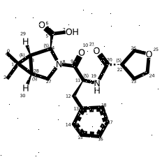 CC1(C)[C@@H]2[C@@H](C(=O)O)N(C(=O)[C@H](Cc3ccccc3)NC(=O)[C@H]3CCOC3)C[C@@H]21